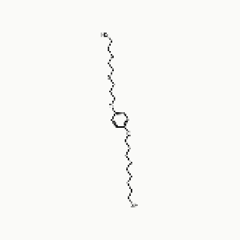 SCCSCCSCCCOc1ccc(OCCCSCCSCCS)cc1